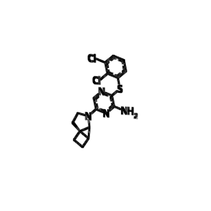 Nc1nc(N2CC[C@]34CCC3C24)cnc1Sc1cccc(Cl)c1Cl